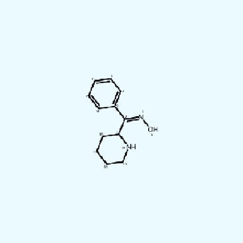 ON=C(c1ccccc1)C1CCCCN1